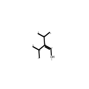 CC(C)C(=CO)C(C)C